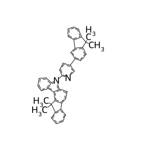 CC1(C)c2ccccc2-c2cc(-c3ccc(-n4c5ccccc5c5c6c(ccc54)-c4ccccc4C6(C)C)nc3)ccc21